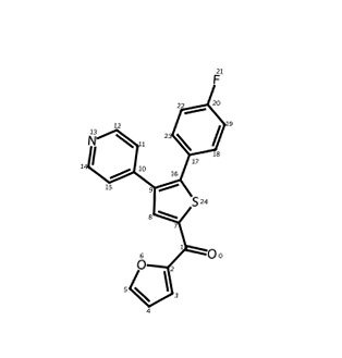 O=C(c1ccco1)c1cc(-c2ccncc2)c(-c2ccc(F)cc2)s1